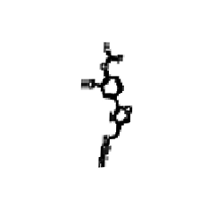 [N-]=[N+]=NCc1coc(-c2ccc(OC(F)F)c(O)c2)n1